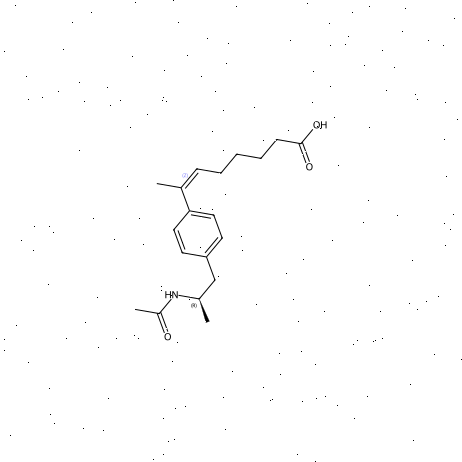 CC(=O)N[C@H](C)Cc1ccc(/C(C)=C\CCCCC(=O)O)cc1